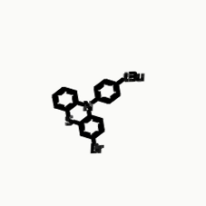 CC(C)(C)c1ccc(N2c3ccccc3Sc3cc(Br)ccc32)cc1